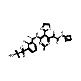 Cc1nc(N[C@H](C)c2cccc(C(F)(F)C(C)(C)O)c2F)c(C2OCCO2)c(C(F)C(=O)NC23CC(C2)C3)n1